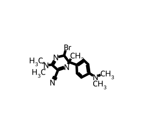 CN(C)C1=NC(Br)C(C)(c2ccc(N(C)C)cc2)N=C1C#N